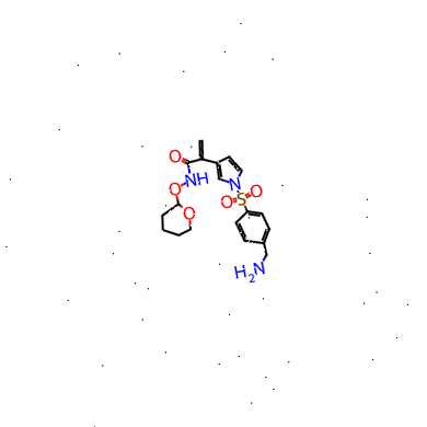 C=C(C(=O)NOC1CCCCO1)c1ccn(S(=O)(=O)c2ccc(CN)cc2)c1